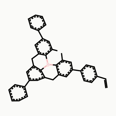 C=Cc1ccc(-c2cc(C)c3c(c2)Cc2cc(-c4ccccc4)cc4c2B3c2c(C)cc(-c3ccccc3)cc2C4)cc1